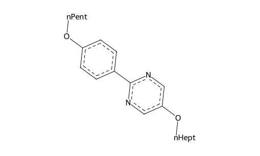 CCCCCCCOc1cnc(-c2ccc(OCCCCC)cc2)nc1